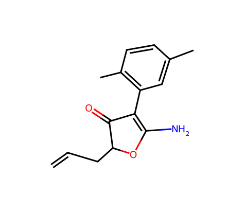 C=CCC1OC(N)=C(c2cc(C)ccc2C)C1=O